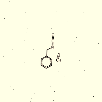 C#N.O=C=NCc1ccccc1